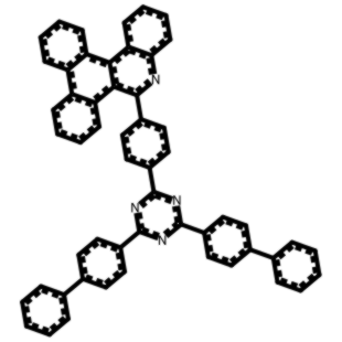 c1ccc(-c2ccc(-c3nc(-c4ccc(-c5ccccc5)cc4)nc(-c4ccc(-c5nc6ccccc6c6c7ccccc7c7ccccc7c56)cc4)n3)cc2)cc1